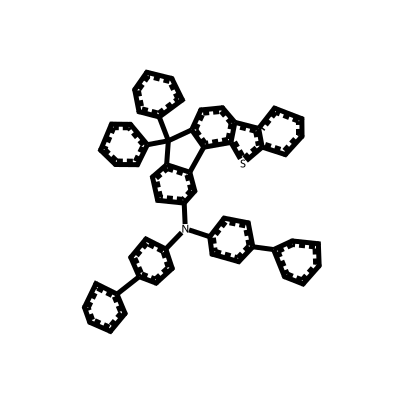 c1ccc(-c2ccc(N(c3ccc(-c4ccccc4)cc3)c3ccc4c(c3)-c3c(ccc5c3sc3ccccc35)C4(c3ccccc3)c3ccccc3)cc2)cc1